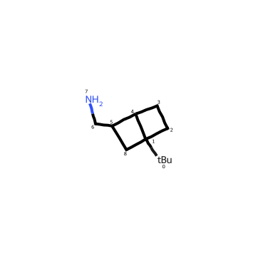 CC(C)(C)C12CCC1C(CN)C2